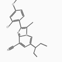 CCC(CC)c1cc(C#N)c2nc(-c3ccc(OC)cc3Cl)c(C)n2c1